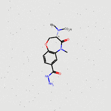 CN1C(=O)[C@@H](N(C(=O)O)C(C)(C)C)COc2ccc(C(=O)NN)cc21